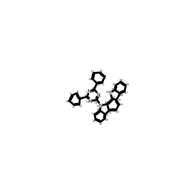 c1ccc(-c2nc(-c3ccccc3)nc(-n3c4ccccc4c4ccc5c6ccccc6sc5c43)n2)cc1